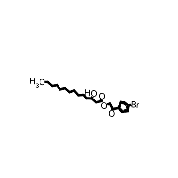 CCCCCCCCCCCC(O)CC(=O)OCC(=O)c1ccc(Br)cc1